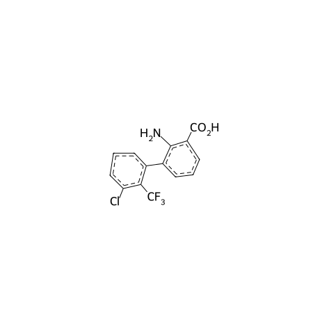 Nc1c(C(=O)O)cccc1-c1cccc(Cl)c1C(F)(F)F